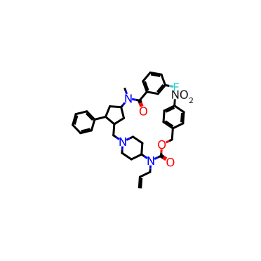 C=CCN(C(=O)OCc1ccc([N+](=O)[O-])cc1)C1CCN(CC2CC(N(C)C(=O)c3cccc(F)c3)CC2c2ccccc2)CC1